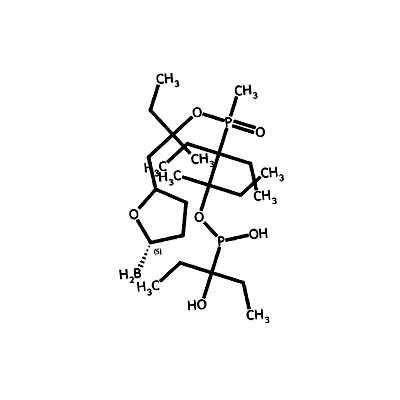 B[C@H]1CCC(CC(C)(CC)OP(C)(=O)C(CC)(CC)C(C)(CC)OP(O)C(O)(CC)CC)O1